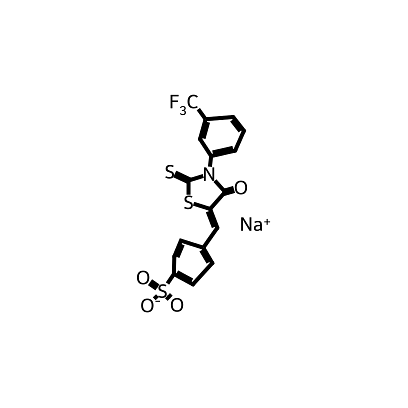 O=C1/C(=C/c2ccc(S(=O)(=O)[O-])cc2)SC(=S)N1c1cccc(C(F)(F)F)c1.[Na+]